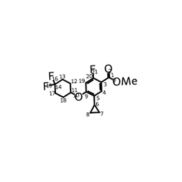 COC(=O)c1cc(C2CC2)c(OC2CCC(F)(F)CC2)cc1F